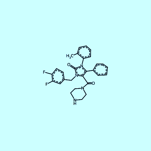 Cc1ccccc1-n1c(-c2ccccc2)c(C(=O)N2CCNCC2)n(Cc2ccc(F)c(F)c2)c1=O